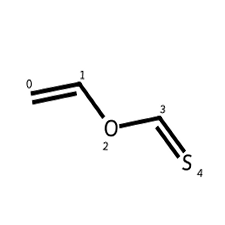 C=COC=S